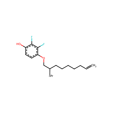 C=CCCCCCC(CCC)COc1ccc(O)c(F)c1F